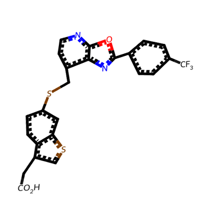 O=C(O)Cc1csc2cc(SCc3ccnc4oc(-c5ccc(C(F)(F)F)cc5)nc34)ccc12